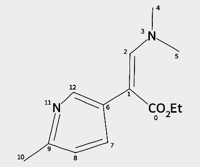 CCOC(=O)C(=CN(C)C)c1ccc(C)nc1